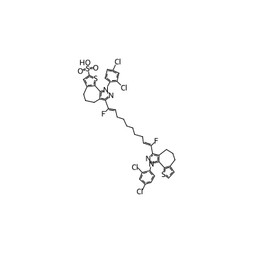 O=S(=O)(O)c1cc2c(s1)-c1c(c(/C(F)=C/CCCCCC/C=C(\F)c3nn(-c4ccc(Cl)cc4Cl)c4c3CCCc3ccsc3-4)nn1-c1ccc(Cl)cc1Cl)CCC2